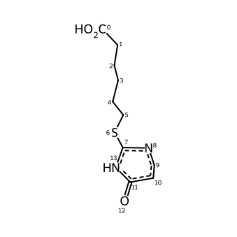 O=C(O)CCCCCSc1nccc(=O)[nH]1